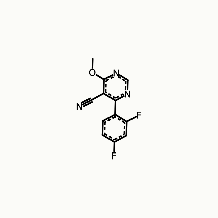 COc1ncnc(-c2ccc(F)cc2F)c1C#N